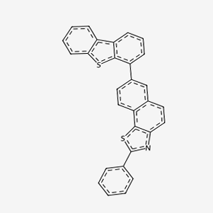 c1ccc(-c2nc3ccc4cc(-c5cccc6c5sc5ccccc56)ccc4c3s2)cc1